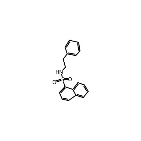 O=S(=O)(NCCc1ccccc1)c1cccc2ccccc12